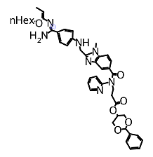 CC=C(/N=C(\N)c1ccc(NCc2nc3cc(C(=O)N(CCC(=O)OC4COC(c5ccccc5)OC4)c4ccccn4)ccc3n2C)cc1)OCCCCCC